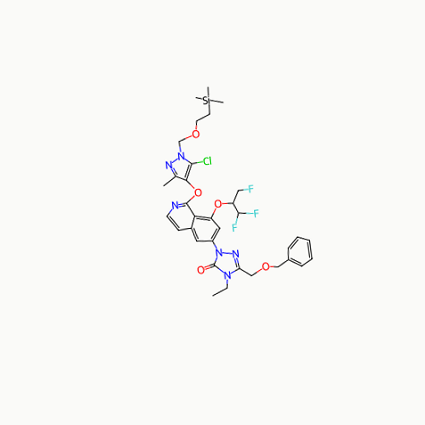 CCn1c(COCc2ccccc2)nn(-c2cc(OC(CF)C(F)F)c3c(Oc4c(C)nn(COCC[Si](C)(C)C)c4Cl)nccc3c2)c1=O